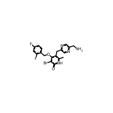 Cc1[nH]c(=O)c(Br)c(OCc2ccc(F)cc2F)c1Cc1cnc(CN)cn1